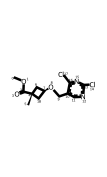 COC(=O)[C@]1(C)C[C@@H](OCc2cnc(Cl)nc2Cl)C1